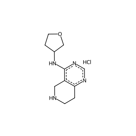 Cl.c1nc2c(c(NC3CCOC3)n1)CNCC2